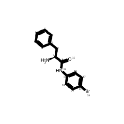 N[C@@H](Cc1ccccc1)C(=O)Nc1ccc(Br)cc1